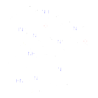 Cc1ccc(N)cc1Nc1nc(-c2cccnc2)cs1.Cc1ccc(NC(=O)CCCN2CCOCC2)cc1Nc1nc(-c2cccnc2)cs1